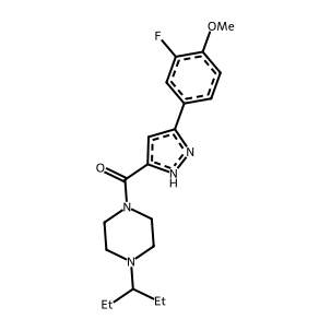 CCC(CC)N1CCN(C(=O)c2cc(-c3ccc(OC)c(F)c3)n[nH]2)CC1